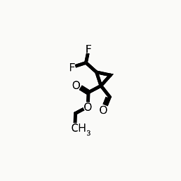 CCOC(=O)C1(C=O)CC1C(F)F